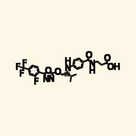 CC(C)[C@@H](COc1nnc(-c2ccc(C(F)(F)F)cc2F)o1)Nc1ccc(C(=O)NCCC(=O)O)cc1